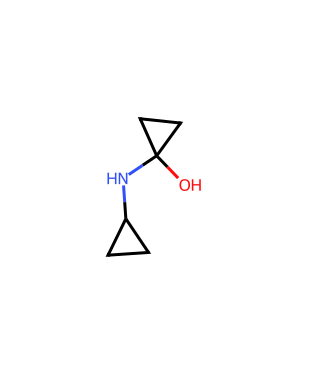 OC1(NC2CC2)CC1